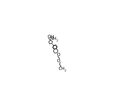 C=CCCOCCOC1CCc2cc([C@H]3CC[C@](N)(CO)C3)ccc2C1